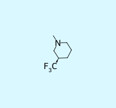 CN1CCC[C@@H](C(F)(F)F)C1